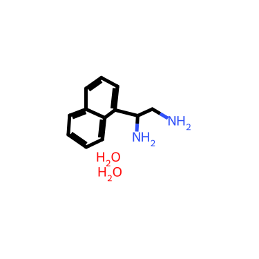 NCC(N)c1cccc2ccccc12.O.O